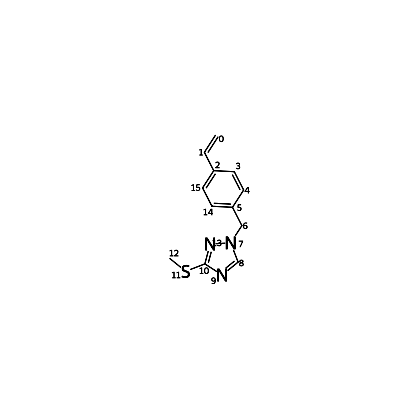 C=Cc1ccc(Cn2cnc(SC)n2)cc1